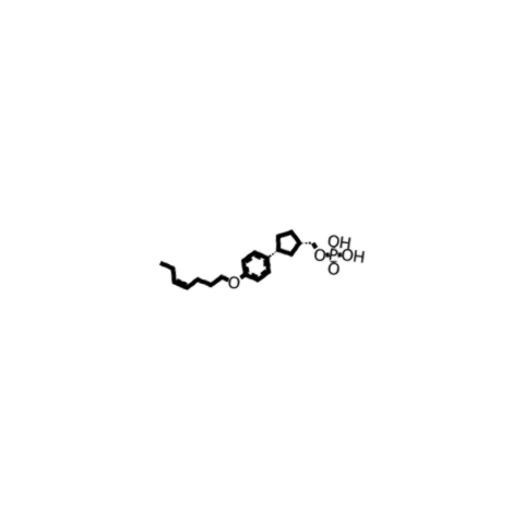 CC/C=C\CCCOc1ccc([C@@H]2CC[C@H](COP(=O)(O)O)C2)cc1